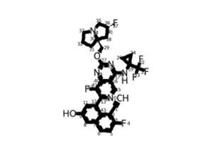 C#Cc1c(F)ccc2cc(O)cc(-c3ncc4c(NC5(C(F)(F)F)CC5)nc(OC[C@@]56CCCN5C[C@H](F)C6)nc4c3F)c12